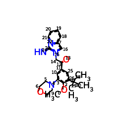 COc1c(N2CCOCC2)cc(C(=O)Cn2cc3ccccn3c2=N)cc1C(C)(C)C